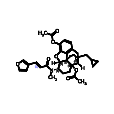 CC(=O)Oc1ccc2c3c1O[C@H]1[C@@H](N(C)C(=O)/C=C/c4ccoc4)CC[C@@]4(OC(C)=O)[C@@H](C2)N(CC2CC2)CC[C@]314